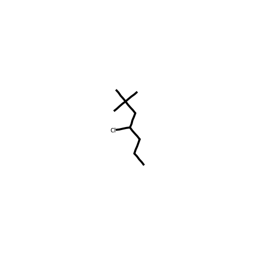 CCCC(Cl)CC(C)(C)C